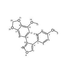 COc1ccc(-c2conc2-c2cc(OC)c3c(c2)OCO3)nc1